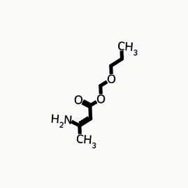 CCCOCOC(=O)C=C(C)N